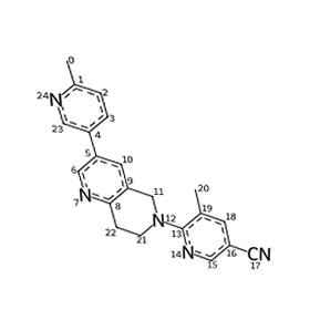 Cc1ccc(-c2cnc3c(c2)CN(c2ncc(C#N)cc2C)CC3)cn1